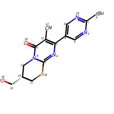 CC(C)(C)c1ncc(-c2nc3n(c(=O)c2C#N)C[C@@H](CO)CS3)cn1